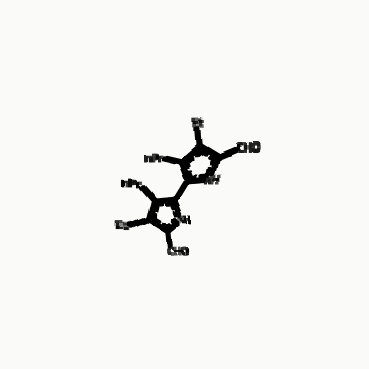 CCCc1c(-c2[nH]c(C=O)c(CC)c2CCC)[nH]c(C=O)c1CC